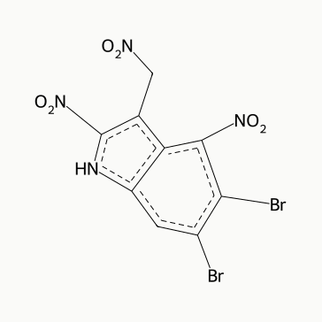 O=[N+]([O-])Cc1c([N+](=O)[O-])[nH]c2cc(Br)c(Br)c([N+](=O)[O-])c12